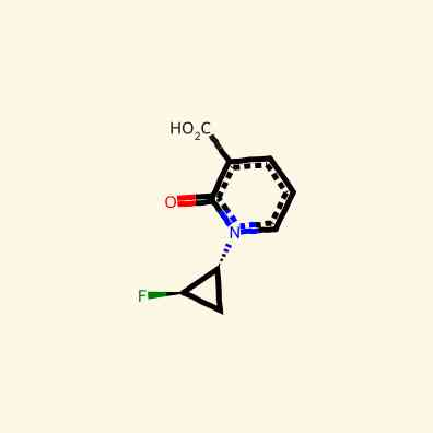 O=C(O)c1cccn([C@@H]2C[C@H]2F)c1=O